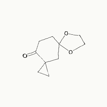 O=C1CCC2(CC13CC3)OCCO2